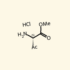 COC(=O)[C@@H](N)C(C)=O.Cl